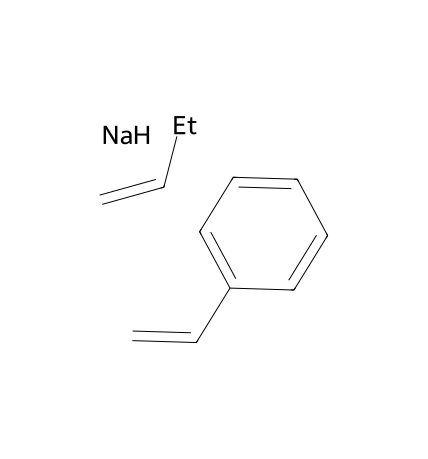 C=CCC.C=Cc1ccccc1.[NaH]